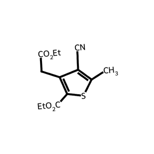 CCOC(=O)Cc1c(C(=O)OCC)sc(C)c1C#N